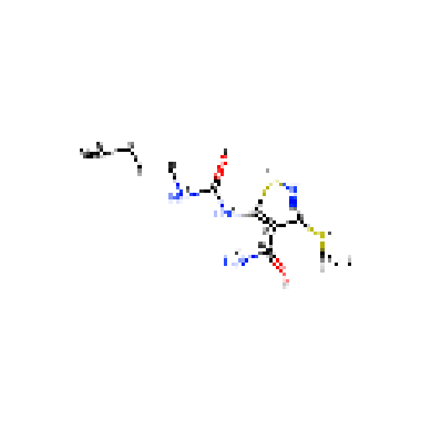 CCCCCSc1nsc(NC(=O)NCCCOC)c1C(N)=O